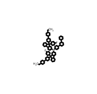 C=Cc1ccc(-c2ccc(C3(c4ccc(F)cc4)c4ccccc4-c4ccc(N(c5ccc(-c6cccc(-c7ccccc7)c6)cc5)c5ccc6c(c5)C(c5ccc(F)cc5)(c5ccc(-c7ccc(C=C)cc7)cc5)c5ccccc5-6)cc43)cc2)cc1